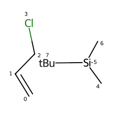 C=CCCl.C[Si](C)C(C)(C)C